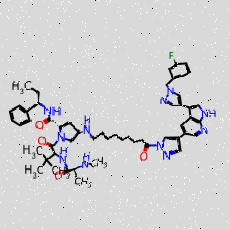 CC[C@@H](NC(=O)[C@@H]1C[C@H](NCCCCCCCCC(=O)n2cc(-c3cnc4[nH]cc(-c5cnn(Cc6cccc(F)c6)c5)c4c3)cn2)CN1C(=O)C(NC(=O)[C@H](C)NC)C(C)(C)C)c1ccccc1